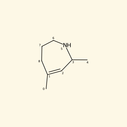 CC1=CC(C)NCCC1